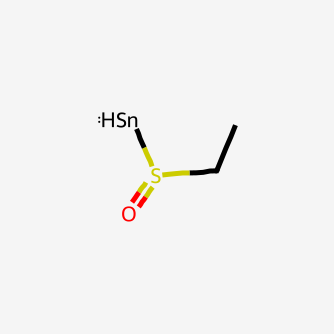 CC[S](=O)[SnH]